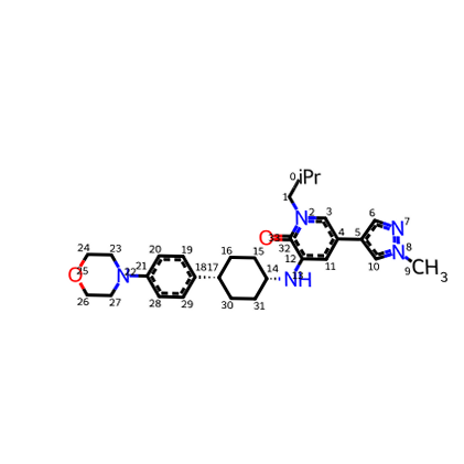 CC(C)Cn1cc(-c2cnn(C)c2)cc(N[C@H]2CC[C@@H](c3ccc(N4CCOCC4)cc3)CC2)c1=O